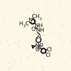 Cc1cc(NC(=O)NCCN2CCC(N(C3CC3)S(=O)(=O)c3ccc(Cl)c(Cl)c3)CC2)cc(C)n1